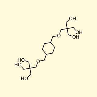 OCC(CO)(CO)COCC1CCC(COCC(CO)(CO)CO)CC1